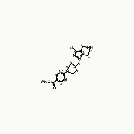 COC(=O)c1cnc(N2CCC(Cn3nc(I)c4c3CCNC4)CC2)nc1